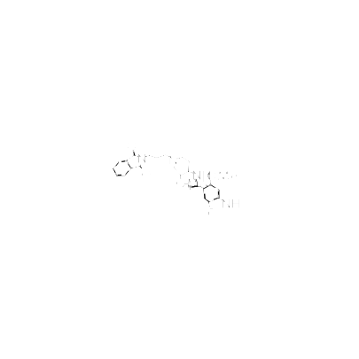 COc1cc(N)c(Cl)cc1C(=O)NC1CCN(CCCN2C(=O)c3ccccc3C2=O)CC1OC